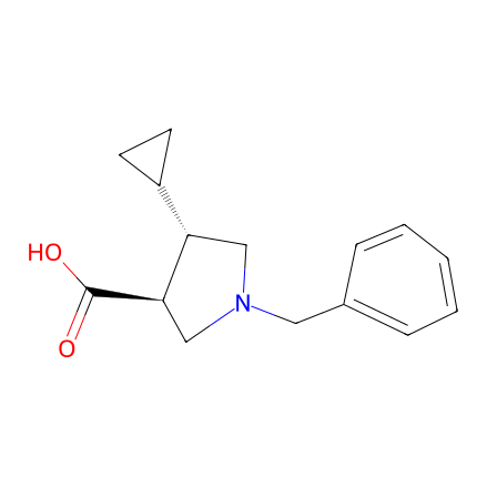 O=C(O)[C@@H]1CN(Cc2ccccc2)C[C@H]1C1CC1